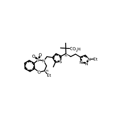 CC[C@@H]1CN(Cc2cc([C@H](CCc3cn(CC)nn3)C(C)(C)C(=O)O)sc2C)S(=O)(=O)c2ccccc2O1